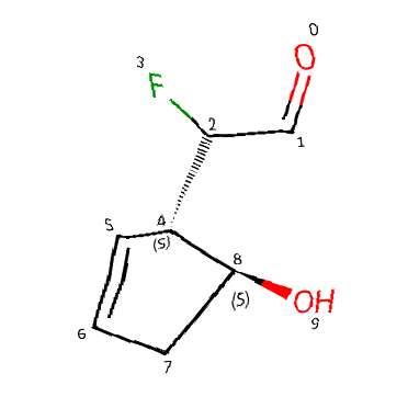 O=CC(F)[C@H]1C=CC[C@@H]1O